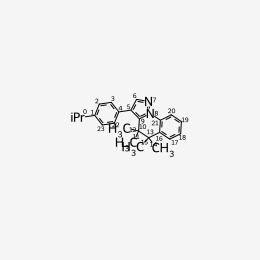 CC(C)c1ccc(-c2cnn3c2C(C)(C)C(C)(C)c2ccccc2-3)cc1